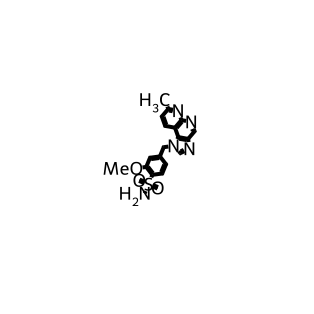 COc1cc(Cn2cnc3cnc4nc(C)ccc4c32)ccc1S(N)(=O)=O